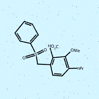 CCCc1ccc(CS(=O)(=O)c2ccccc2)c(C(=O)O)c1OC